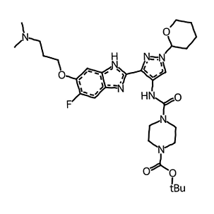 CN(C)CCCOc1cc2[nH]c(-c3nn(C4CCCCO4)cc3NC(=O)N3CCN(C(=O)OC(C)(C)C)CC3)nc2cc1F